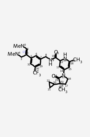 CN/C=C(\CNC)c1cc(CNC(=O)C2C=C(N3CC[C@@](C)(C4CC4)C3=O)C=C(C)N2)cc(C(F)(F)F)c1